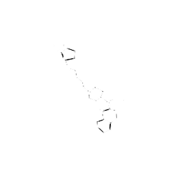 COc1cccc(OCCCCN2CCC(N(C)C3=Nc4ccccc4CS3)CC2)c1